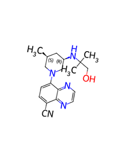 C[C@H]1C[C@@H](NC(C)(C)CO)CN(c2ccc(C#N)c3nccnc23)C1